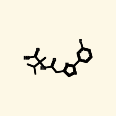 CC(C)C(C)(NC(=O)Cc1csc(-c2cccc(F)c2)n1)C(=O)O